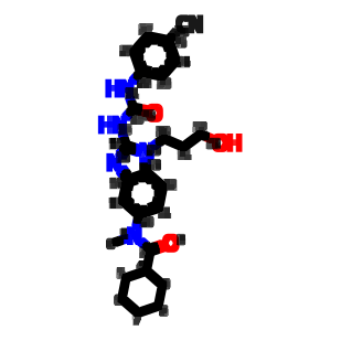 CN(C(=O)C1CCCCC1)c1ccc2c(c1)nc(NC(=O)Nc1ccc(C#N)cc1)n2CCCO